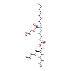 CCCCCCCCN(CCCCC(=O)OCC(CCCCC)CCCCC)C(=O)OCC=O